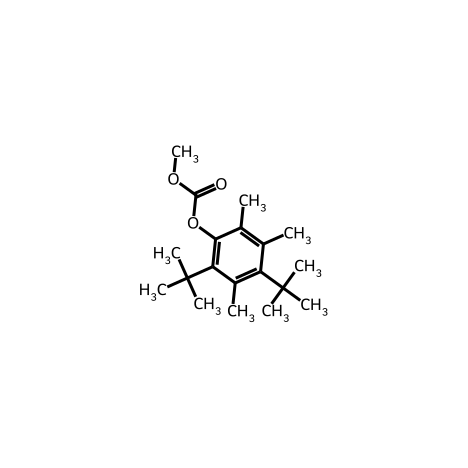 COC(=O)Oc1c(C)c(C)c(C(C)(C)C)c(C)c1C(C)(C)C